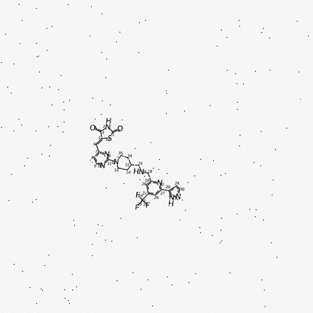 O=C1NC(=O)C(=Cc2ccnc(N3CCC(CNCc4cc(C(F)(F)F)cc(-c5ccn[nH]5)n4)CC3)n2)S1